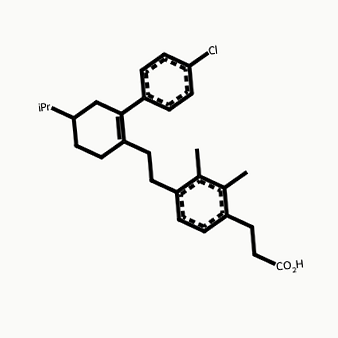 Cc1c(CCC(=O)O)ccc(CCC2=C(c3ccc(Cl)cc3)CC(C(C)C)CC2)c1C